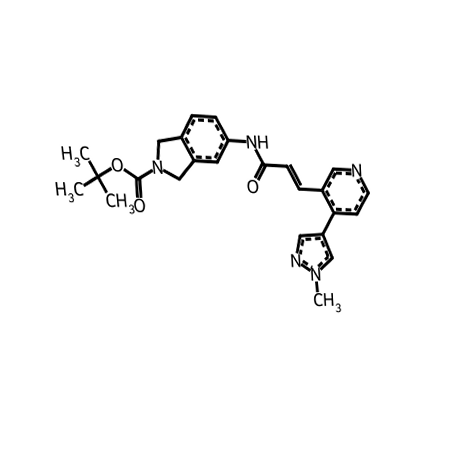 Cn1cc(-c2ccncc2C=CC(=O)Nc2ccc3c(c2)CN(C(=O)OC(C)(C)C)C3)cn1